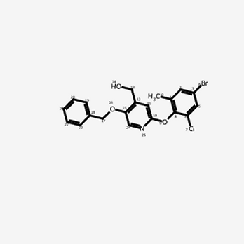 Cc1cc(Br)cc(Cl)c1Oc1cc(CO)c(OCc2ccccc2)cn1